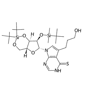 CC(C)(C)[Si](C)(C)O[C@@H]1[C@@H]2O[Si](C(C)(C)C)(C(C)(C)C)OC[C@H]2O[C@H]1n1cc(CCCO)c2c(=S)[nH]cnc21